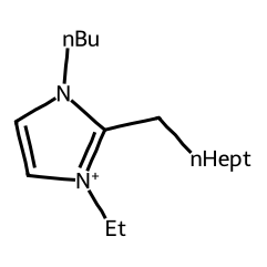 CCCCCCCCc1n(CCCC)cc[n+]1CC